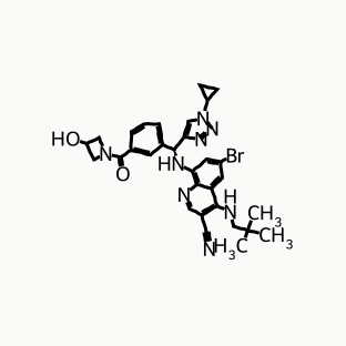 CC(C)(C)CNc1c(C#N)cnc2c(N[C@@H](c3cccc(C(=O)N4CC(O)C4)c3)c3cn(C4CC4)nn3)cc(Br)cc12